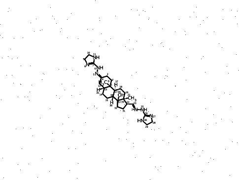 C[C@]12CC/C(=N\NC3=NCCN3)C[C@H]1CC[C@@H]1[C@@H]2CC[C@]2(C)[C@@H](/C=N/NC3=NCCN3)CC[C@]12O